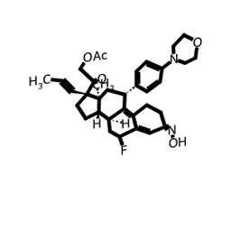 CC#C[C@]1(C(=O)COC(C)=O)CC[C@H]2[C@@H]3CC(F)C4=CC(=NO)CCC4=C3[C@@H](c3ccc(N4CCOCC4)cc3)C[C@@]21C